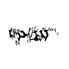 Cc1cc(N)ncc1-n1ncc(C(=O)Nc2cnc(N3N=CCN3)c(C#N)c2)c1C(F)(F)F